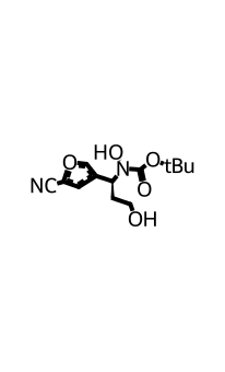 CC(C)(C)OC(=O)N(O)[C@@H](CCO)c1coc(C#N)c1